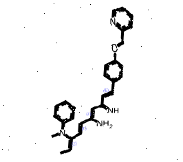 C/C=C(/C=C/C(N)=C/C(=N)/C=C/c1ccc(OCc2ccccn2)cc1)N(C)c1ccccc1